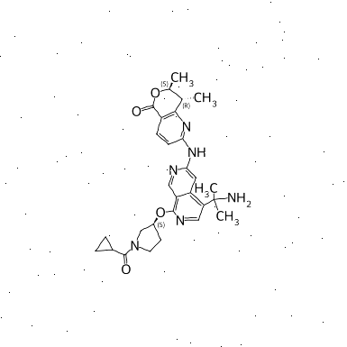 C[C@@H]1OC(=O)c2ccc(Nc3cc4c(C(C)(C)N)cnc(O[C@H]5CCN(C(=O)C6CC6)C5)c4cn3)nc2[C@H]1C